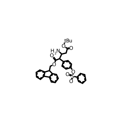 CC(C)(C)OC(=O)CC(N)C(C(=O)OCC1c2ccccc2-c2ccccc21)c1ccc(OS(=O)(=O)c2ccccc2)cc1